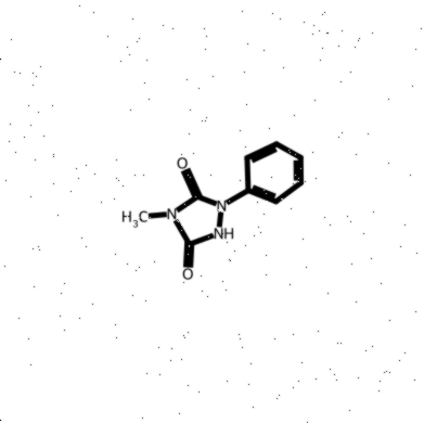 Cn1c(=O)[nH]n(-c2ccccc2)c1=O